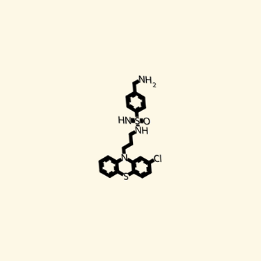 N=S(=O)(NCCCN1c2ccccc2Sc2ccc(Cl)cc21)c1ccc(CN)cc1